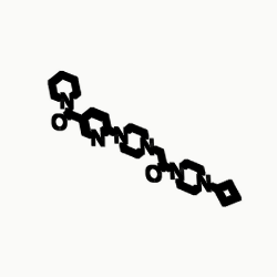 O=C(CN1CCN(c2ccc(C(=O)N3CCCCC3)cn2)CC1)N1CCN(C2CCC2)CC1